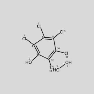 OO.Oc1c(Cl)c(Cl)c(Cl)c(Cl)c1Cl